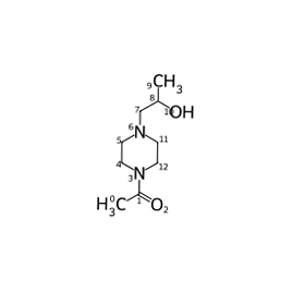 CC(=O)N1CCN(CC(C)O)CC1